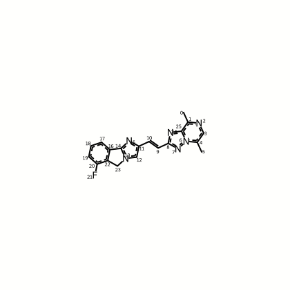 Cc1ncc(C)n2nc(C=Cc3cn4c(n3)-c3cccc(F)c3C4)nc12